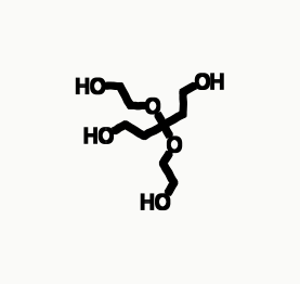 OCCOC(CCO)(CCO)OCCO